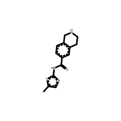 Cc1cnc(NC(=O)c2ccc3c(c2)CCNC3)s1